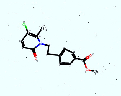 COC(=O)c1ccc(CCn2c(C)c(Cl)ccc2=O)cc1